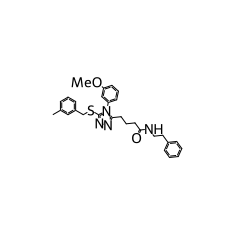 COc1cccc(-n2c(CCCC(=O)NCCc3ccccc3)nnc2SCc2cccc(C)c2)c1